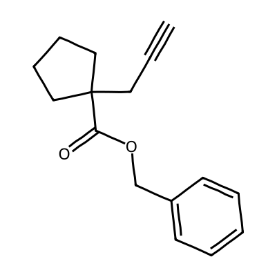 C#CCC1(C(=O)OCc2ccccc2)CCCC1